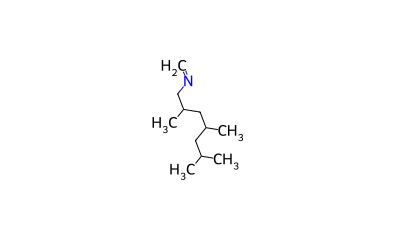 C=NCC(C)CC(C)CC(C)C